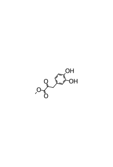 COC(=O)C(=O)Cc1ccc(O)c(O)c1